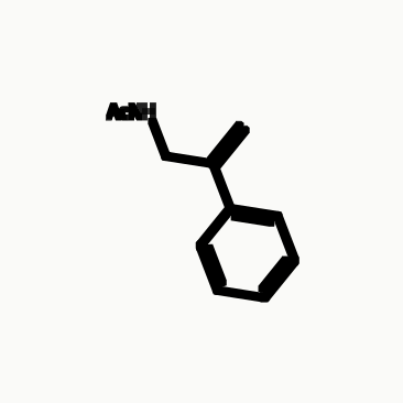 C=C(CNC(C)=O)c1ccccc1